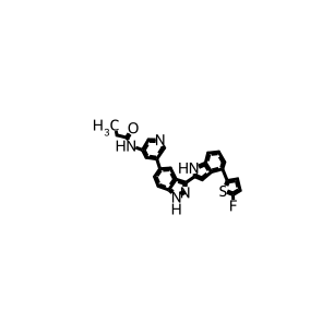 CCC(=O)Nc1cncc(-c2ccc3[nH]nc(-c4cc5c(-c6ccc(F)s6)cccc5[nH]4)c3c2)c1